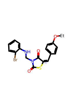 CCOc1ccc(/C=C2/SC(=O)N(CNc3ccccc3Br)C2=O)cc1